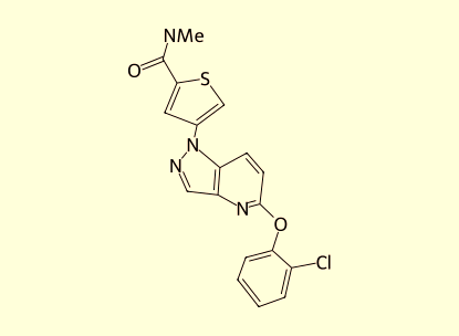 CNC(=O)c1cc(-n2ncc3nc(Oc4ccccc4Cl)ccc32)cs1